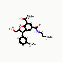 CNC(=O)c1cc(C(=O)NCCOC)cc2c1OC(CO)C2c1cccc(OC)c1